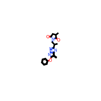 C=c1c(Oc2ccccc2)nn2nc(C(C)CN3C(=O)CC(C)C3=O)nc12